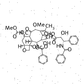 COC(=O)O[C@H]1C[C@H]2OC[C@@]2(OC(C)=O)[C@H]2[C@H](OC(=O)c3ccccc3)[C@]3(O)C[C@H](OC(=O)[C@H](O)[C@@H](NC(=O)c4ccccc4)c4ccccc4)C(C)=C([C@@H](OC)C(=O)[C@]12C)C3(C)C